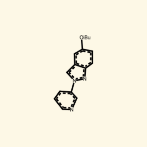 CC(C)COc1ccc2nn(-c3cccnc3)cc2c1